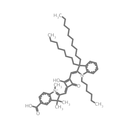 CCCCCCCCCCC1(CCCCCCCC)/C(=C/C2=C(O)C(=C\C3=[N+](C)c4ccc(C(=O)O)cc4C3(C)C)/C2=O)N(CCCCCC)c2ccccc21